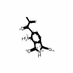 C=C(C)C(=O)c1ccc2c(c1N)C(=O)NC2=O